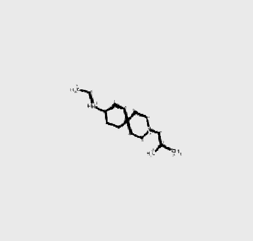 CCNC1CCC2(CC1)CCN(CC(C)C)CC2